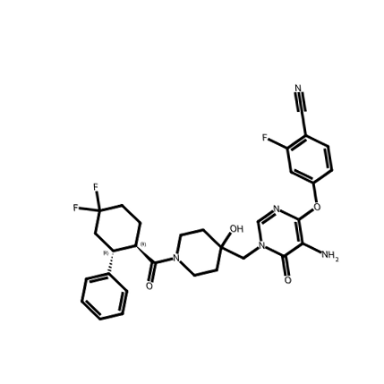 N#Cc1ccc(Oc2ncn(CC3(O)CCN(C(=O)[C@@H]4CCC(F)(F)C[C@H]4c4ccccc4)CC3)c(=O)c2N)cc1F